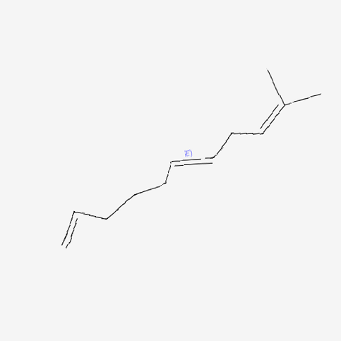 C=CCCC/C=C/CC=C(C)C